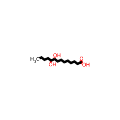 CCCCC(O)C(O)CCCCCCCC(=O)O